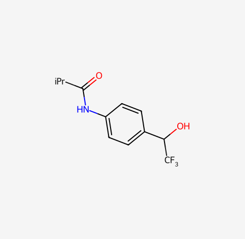 CC(C)C(=O)Nc1ccc(C(O)C(F)(F)F)cc1